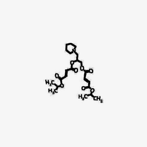 CC(C)OC(=O)/C=C/C(=O)OCC(CN1CCCCC1)OC(=O)/C=C/C(=O)OC(C)C